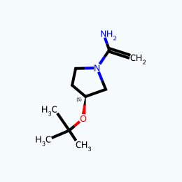 C=C(N)N1CC[C@H](OC(C)(C)C)C1